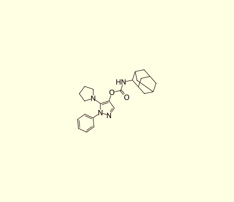 O=C(NC1C2CC3CC(C2)CC1C3)Oc1cnn(-c2ccccc2)c1N1CCCC1